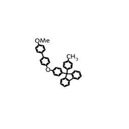 COc1ccc(-c2ccc(Oc3ccc(C4(c5ccc(C)cc5)c5ccccc5-c5ccccc54)cc3)cc2)cc1